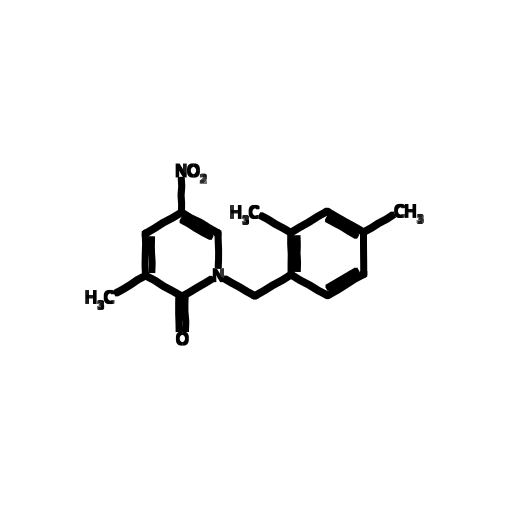 Cc1ccc(Cn2cc([N+](=O)[O-])cc(C)c2=O)c(C)c1